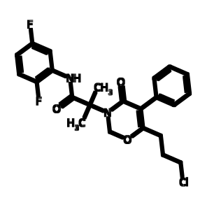 CC(C)(C(=O)Nc1cc(F)ccc1F)N1COC(CCCCl)=C(c2ccccc2)C1=O